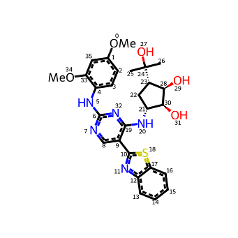 COc1ccc(Nc2ncc(-c3nc4ccccc4s3)c(N[C@@H]3C[C@H](C(C)(C)O)[C@@H](O)[C@H]3O)n2)c(OC)c1